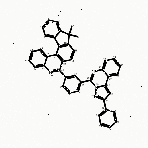 CC1(C)c2ccccc2-c2c1ccc1c(-c3cccc(-c4nc5ccccc5c5cc(-c6ccccc6)nn45)c3)nc3ccccc3c21